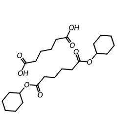 O=C(CCCCC(=O)OC1CCCCC1)OC1CCCCC1.O=C(O)CCCCC(=O)O